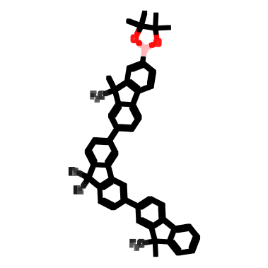 CCC1(CC)c2ccc(-c3ccc4c(c3)C(C)(C(F)(F)F)c3ccccc3-4)cc2-c2cc(-c3ccc4c(c3)C(C)(C(F)(F)F)c3cc(B5OC(C)(C)C(C)(C)O5)ccc3-4)ccc21